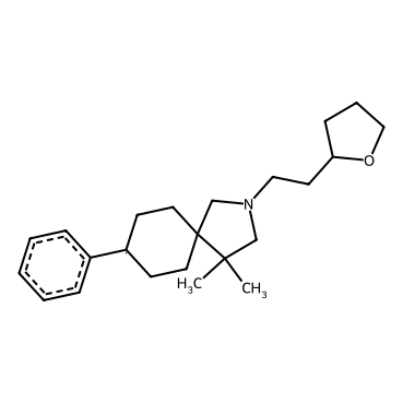 CC1(C)CN(CCC2CCCO2)CC12CC[C](c1ccccc1)CC2